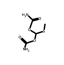 CSC(OC(N)=O)OC(N)=O